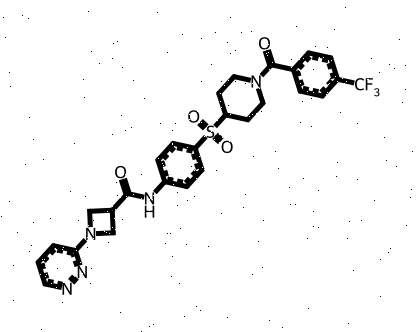 O=C(Nc1ccc(S(=O)(=O)C2CCN(C(=O)c3ccc(C(F)(F)F)cc3)CC2)cc1)C1CN(c2cccnn2)C1